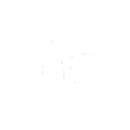 CC(C)(C)C[C@](N)(C(=O)N[C@H](C#N)C[C@@H]1CCNC1=O)C(=O)OC(C)(C)C